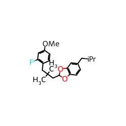 COc1ccc(CC(C)(C)CC2Oc3ccc(CC(C)C)cc3O2)c(F)c1